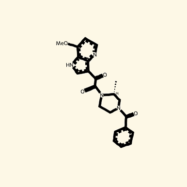 COc1ccnc2c(C(=O)C(=O)N3CCN(C(=O)c4ccccc4)C[C@H]3C)c[nH]c12